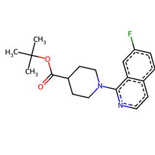 CC(C)(C)OC(=O)C1CCN(c2nccc3ccc(F)cc23)CC1